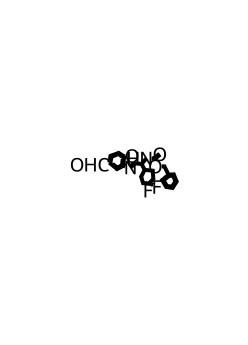 O=Cc1ccc2oc(C(NC(=O)OCc3ccccc3)C3CCC(F)(F)CC3)nc2c1